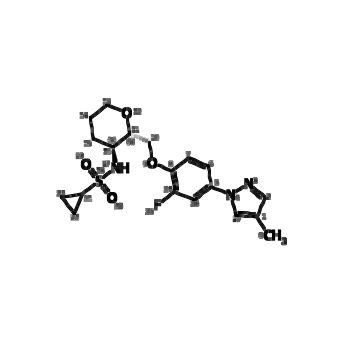 Cc1cnn(-c2ccc(OC[C@H]3OCCC[C@@H]3NS(=O)(=O)C3CC3)c(F)c2)c1